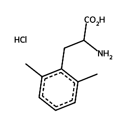 Cc1cccc(C)c1CC(N)C(=O)O.Cl